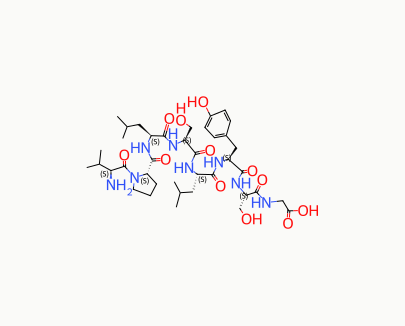 CC(C)C[C@H](NC(=O)[C@H](CO)NC(=O)[C@H](CC(C)C)NC(=O)[C@@H]1CCCN1C(=O)[C@@H](N)C(C)C)C(=O)N[C@@H](Cc1ccc(O)cc1)C(=O)N[C@@H](CO)C(=O)NCC(=O)O